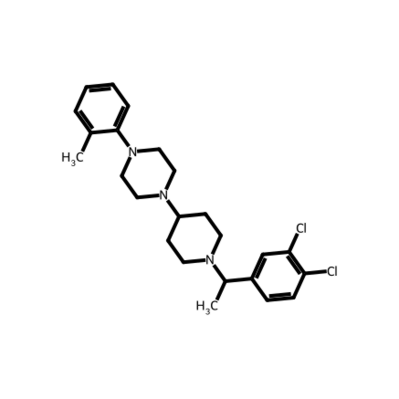 Cc1ccccc1N1CCN(C2CCN(C(C)c3ccc(Cl)c(Cl)c3)CC2)CC1